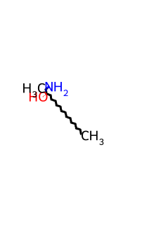 CCCCCCCCCCCCCCC[C@H](O)[C@@H](C)N